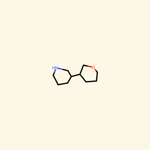 C1CNCC(C2CCCOC2)C1